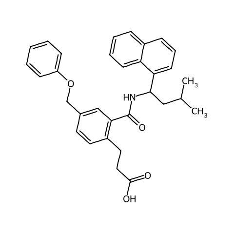 CC(C)CC(NC(=O)c1cc(COc2ccccc2)ccc1CCC(=O)O)c1cccc2ccccc12